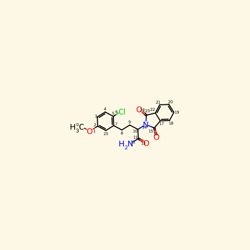 COc1ccc(Cl)c(CCC(C(N)=O)N2C(=O)c3ccccc3C2=O)c1